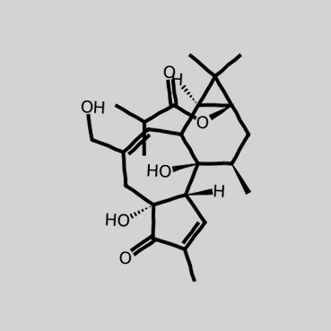 CC1=C[C@H]2[C@]3(O)C(C=C(CO)C[C@]2(O)C1=O)[C@H]1C(C)(C)[C@]1(OC(=O)C(C)C)C[C@H]3C